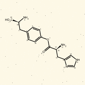 N[C@@H](Cc1ccc(OC(=O)[C@@H](N)Cc2c[nH]cn2)cc1)C(=O)O